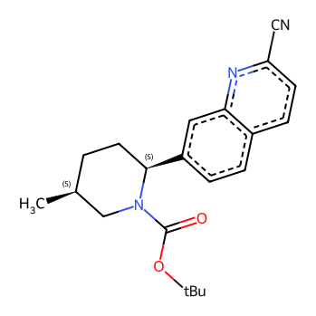 C[C@H]1CC[C@@H](c2ccc3ccc(C#N)nc3c2)N(C(=O)OC(C)(C)C)C1